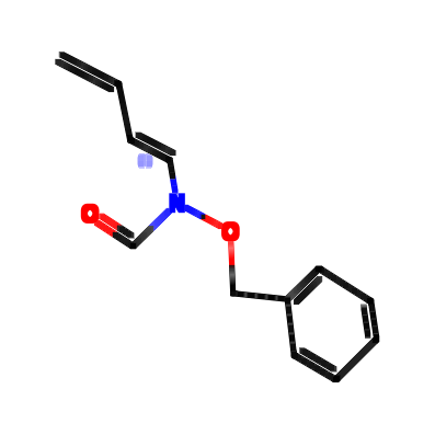 C=C/C=C/N(C=O)OCc1ccccc1